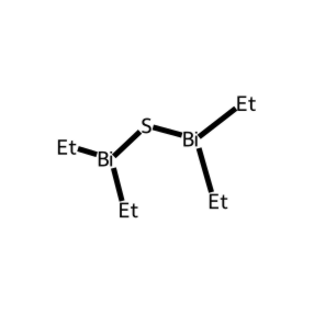 C[CH2][Bi]([CH2]C)[S][Bi]([CH2]C)[CH2]C